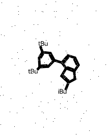 CCC(C)C1=Cc2c(cccc2-c2cc(C(C)(C)C)cc(C(C)(C)C)c2)[CH]1